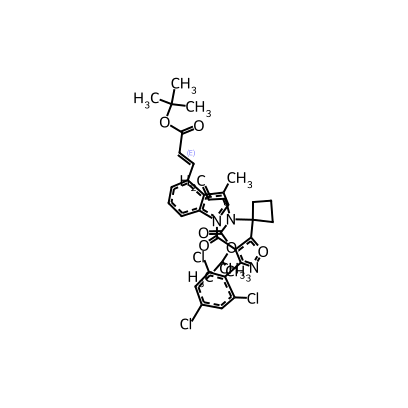 C=CCN(C(=O)OC(C)(C)C)C1(c2onc(-c3c(Cl)cc(Cl)cc3Cl)c2C(=O)n2cc(C)c3c(/C=C/C(=O)OC(C)(C)C)cccc32)CCC1